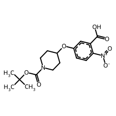 CC(C)(C)OC(=O)N1CCC(Oc2ccc([N+](=O)[O-])c(C(=O)O)c2)CC1